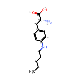 CCCCCNc1ccc(C[C@@H](N)C(=O)O)cc1